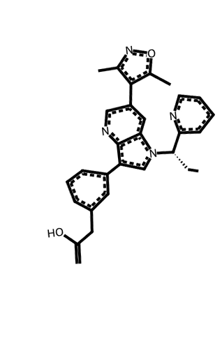 C=C(O)Cc1cccc(-c2cn([C@@H](CC)c3ccccn3)c3cc(-c4c(C)noc4C)cnc23)c1